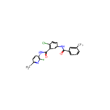 Cc1ccc(NC(=O)c2cc(NC(=O)c3cccc(C(F)(F)F)c3)ccc2Cl)c(F)n1